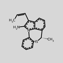 C/C=C\c1c(N)n(-c2ccccc2)c2c([C@H](C)S)cccc12